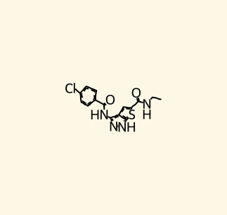 CCNC(=O)c1cc2c(NC(=O)c3ccc(Cl)cc3)n[nH]c2s1